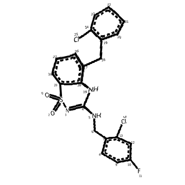 O=S1(=O)N=C(NCc2ccc(F)cc2Cl)Nc2c(Cc3ccccc3Cl)cccc21